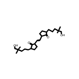 CC(C)(CO)CCCC1CCC(C=CC2CCC(CCCC(C)(C)CO)C2=O)C1=O